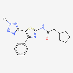 CCn1nnc(-c2sc(NC(=O)CC3CCCC3)nc2-c2ccccc2)n1